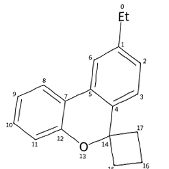 CCc1ccc2c(c1)-c1ccccc1OC21CCC1